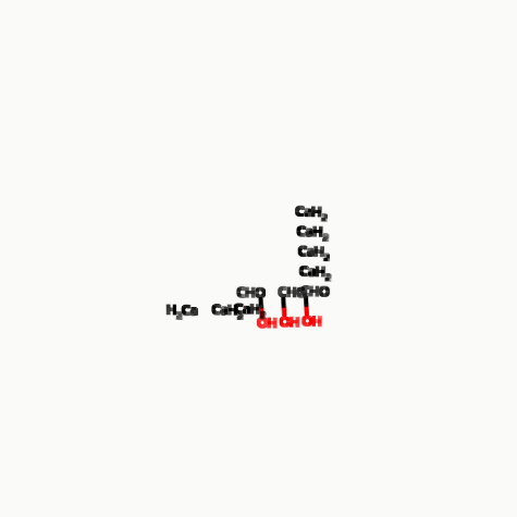 O=CO.O=CO.O=CO.[CaH2].[CaH2].[CaH2].[CaH2].[CaH2].[CaH2].[CaH2]